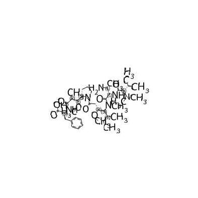 CC[C@H](C)[C@@H]([C@@H](CC(=O)N1CCC[C@H]1[C@H](OC)[C@@H](C)C(=O)N[C@@H](Cc1ccccc1)C(=O)O)OC)N(C)C(=O)[C@@H](NC(=O)[C@H](C(C)C)N(C)C)[C@H](C)N